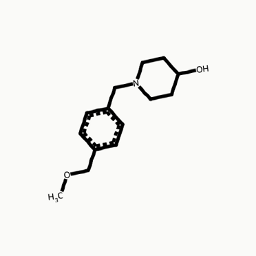 COCc1ccc(CN2CCC(O)CC2)cc1